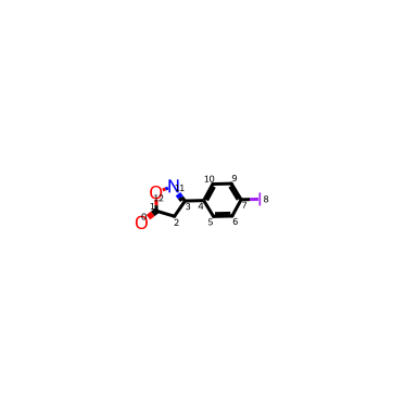 O=C1CC(c2ccc(I)cc2)=NO1